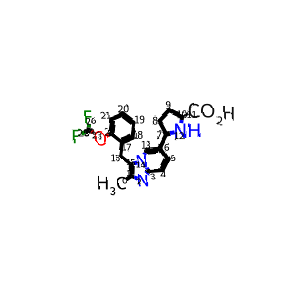 Cc1nc2ccc(C3CC[C@@H](C(=O)O)N3)cn2c1Cc1ccccc1OC(F)F